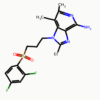 CCc1nc2c(N)nc(C)c(C)c2n1CCCS(=O)(=O)c1ccc(F)cc1F